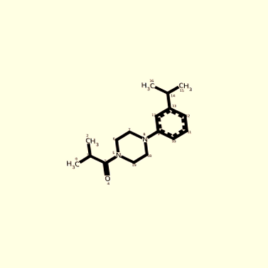 CC(C)C(=O)N1CCN(c2cccc(C(C)C)c2)CC1